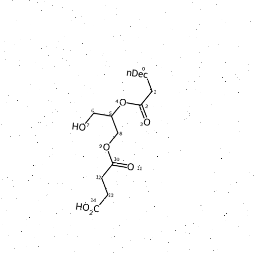 CCCCCCCCCCCC(=O)OC(CO)COC(=O)CCC(=O)O